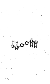 c1cc(-c2cnc([C@H]3CCCN3)[nH]2)ccc1-c1ccc(-c2cnc([C@H]3CCCN3)[nH]2)cc1